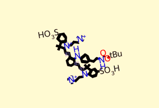 CC(C)(C)OC(=O)NCCc1ccc(NC2=C(/C=C/C3=[N+](CCC[N+](C)(C)C)c4ccc(S(=O)(=O)O)cc4C3(C)C)CCC/C2=C\C=C2\N(CCC[N+](C)(C)C)c3ccc(S(=O)(=O)O)cc3C2(C)C)cc1